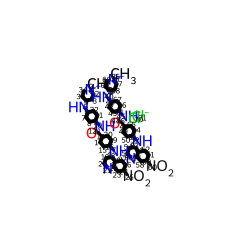 C[n+]1ccc(Nc2ccc(NC(=O)c3ccc(Nc4ccnc5cc([N+](=O)[O-])ccc45)cc3)cc2)cc1.C[n+]1ccc(Nc2ccc(NC(=O)c3ccc(Nc4ccnc5cc([N+](=O)[O-])ccc45)cc3)cc2)cc1.[Cl-].[Cl-]